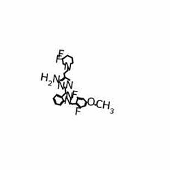 CCOc1cc(F)c(Cn2nc(-c3ncc(CCN4CCCC(F)(F)C4)c(N)n3)c3ccccc32)c(F)c1